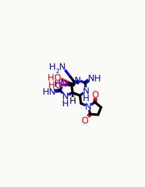 N=C1N[C@H]2C(CN3C(=O)CCC3=O)NC(=N)N3CC(N)C(O)(O)[C@]23N1